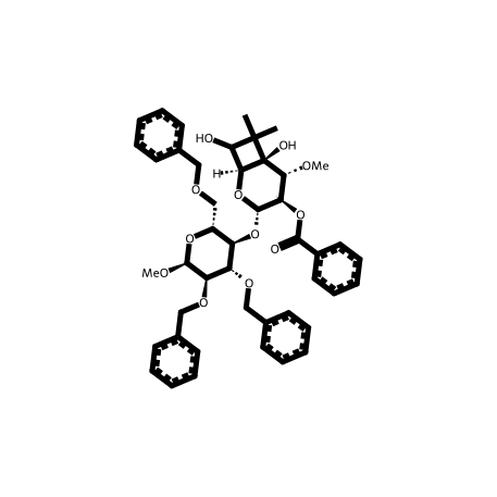 CO[C@H]1O[C@H](COCc2ccccc2)[C@@H](O[C@@H]2O[C@H]3C(O)C(C)(C)[C@]3(O)[C@H](OC)[C@H]2OC(=O)c2ccccc2)[C@H](OCc2ccccc2)[C@H]1OCc1ccccc1